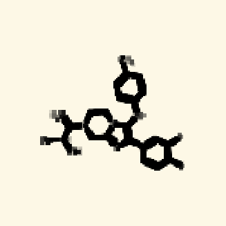 C=C([C@H](O)C(C)C)N1CCn2c(nc(-c3ccc(F)c(F)c3)c2Nc2ccc(C)cc2)C1